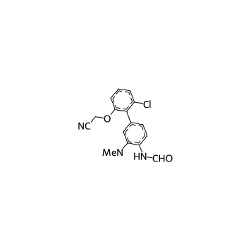 CNc1cc(-c2c(Cl)cccc2OCC#N)ccc1NC=O